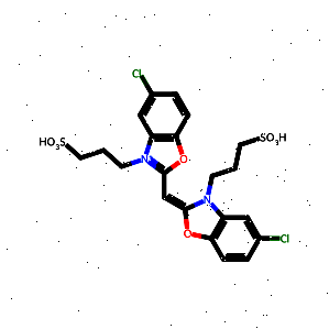 O=S(=O)(O)CCCN1C(=Cc2oc3ccc(Cl)cc3[n+]2CCCS(=O)(=O)O)Oc2ccc(Cl)cc21